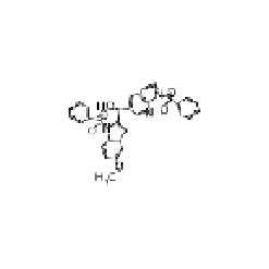 COc1ccc2c(c1)cc(C(O)c1cnc3c(ccn3S(=O)(=O)c3ccccc3)c1)n2S(=O)(=O)c1ccccc1